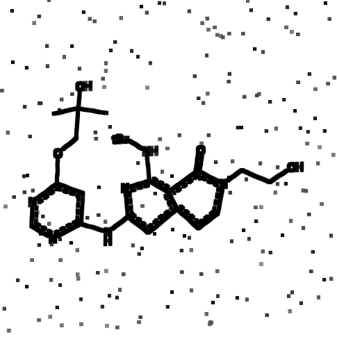 CC(C)(O)COc1cc(Nc2cc3ccn(CCO)c(=O)c3c(NC(C)(C)C)n2)ncn1